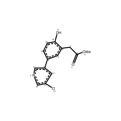 COC(=O)Cc1cc(-c2cncc(Cl)c2)ccc1O